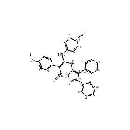 COc1ccc(-c2c(Nc3ccc(Cl)nn3)[nH]c3c(-c4ccccc4)c(-c4ccccc4)nn3c2=O)cc1